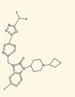 O=c1n(Cc2ccc(-c3nnc(C(F)F)o3)cn2)c2cc(F)ccc2n1C1CCN(C2CCC2)CC1